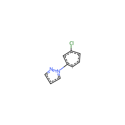 Clc1cc[c]c(-n2cccn2)c1